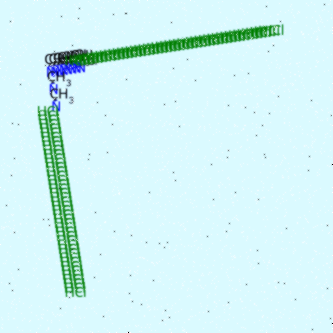 CC#N.CC#N.CC#N.CC#N.CC#N.CC#N.CC#N.CC#N.CC#N.CC#N.Cl.Cl.Cl.Cl.Cl.Cl.Cl.Cl.Cl.Cl.Cl.Cl.Cl.Cl.Cl.Cl.Cl.Cl.Cl.Cl.Cl.Cl.Cl.Cl.Cl.Cl.Cl.Cl.Cl.Cl.Cl.Cl.Cl.Cl.Cl.Cl.Cl.Cl.Cl.Cl.Cl.Cl.Cl.Cl.Cl.Cl.Cl.Cl.Cl.Cl.Cl.Cl.Cl.Cl.Cl.Cl.Cl.Cl.Cl.Cl.Cl.Cl.Cl.Cl.Cl.Cl.Cl.Cl.Cl.Cl.Cl.Cl.Cl.Cl.Cl.Cl.Cl.Cl.Cl.Cl.Cl.Cl.Cl.Cl.Cl.Cl.Cl.Cl.Cl.Cl